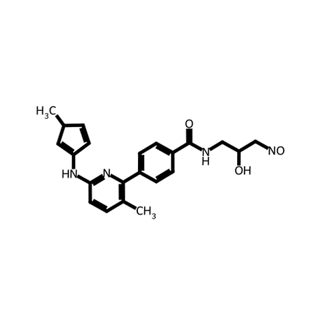 Cc1ccc(NC2=CC(C)C=C2)nc1-c1ccc(C(=O)NCC(O)CN=O)cc1